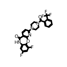 O=C1Nc2cc(F)cc(F)c2Oc2nc(N3CCN(C(=O)c4ccccc4C(F)(F)F)CC3)ccc21